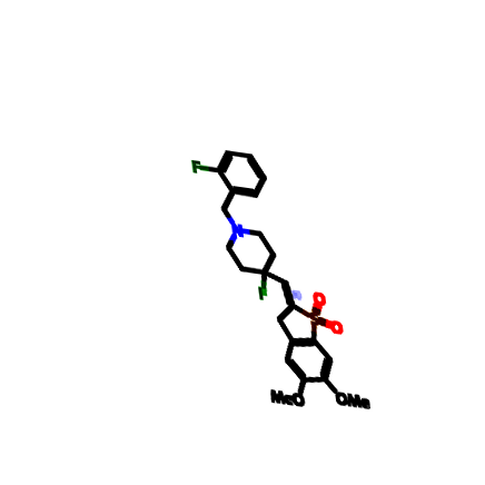 COc1cc2c(cc1OC)S(=O)(=O)/C(=C/C1(F)CCN(Cc3ccccc3F)CC1)C2